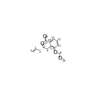 C=CC[C@H]1Cc2c(OCOC)cccc2C(=O)O1